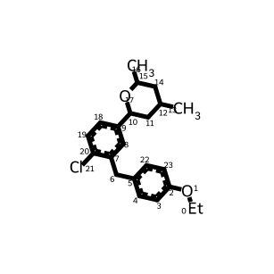 CCOc1ccc(Cc2cc(C3CC(C)CC(C)O3)ccc2Cl)cc1